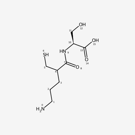 NCCCC(CS)C(=O)N[C@@H](CO)C(=O)O